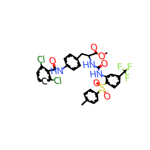 COC(=O)C(Cc1ccc(NC(=O)c2c(Cl)cccc2Cl)cc1)NC(=O)Nc1cc(C(F)(F)F)ccc1S(=O)(=O)c1ccc(C)cc1